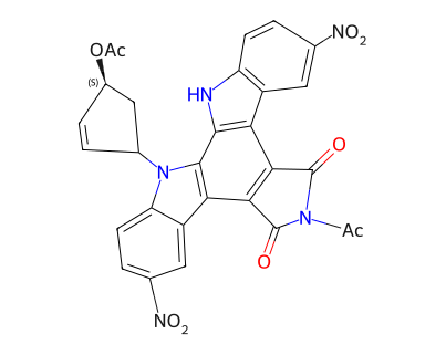 CC(=O)O[C@@H]1C=CC(n2c3ccc([N+](=O)[O-])cc3c3c4c(c5c6cc([N+](=O)[O-])ccc6[nH]c5c32)C(=O)N(C(C)=O)C4=O)C1